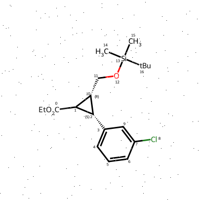 CCOC(=O)C1[C@@H](c2cccc(Cl)c2)[C@H]1CO[Si](C)(C)C(C)(C)C